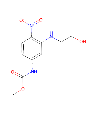 COC(=O)Nc1ccc([N+](=O)[O-])c(NCCO)c1